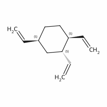 C=C[C@H]1CC[C@@H](C=C)[C@H](C=C)C1